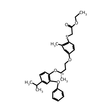 CCOC(=O)CSc1ccc(OCC[C@H](C)Oc2ccc(C(C)C)cc2Oc2ccccc2)cc1C